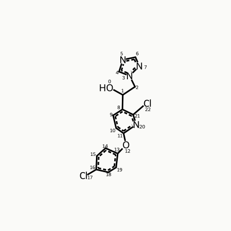 OC(Cn1cncn1)c1ccc(Oc2ccc(Cl)cc2)nc1Cl